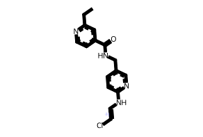 CCc1cc(C(=O)NCc2ccc(N/C=C/Cl)nc2)ccn1